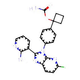 NC(=O)OC1(c2ccc(-n3c(-c4cccnc4N)nc4ccc(Cl)nc43)cc2)CCC1